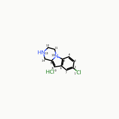 Cl.Clc1ccc2c(c1)cc1n2CCNC1